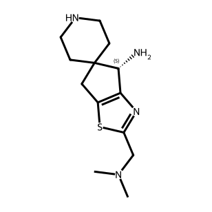 CN(C)Cc1nc2c(s1)CC1(CCNCC1)[C@@H]2N